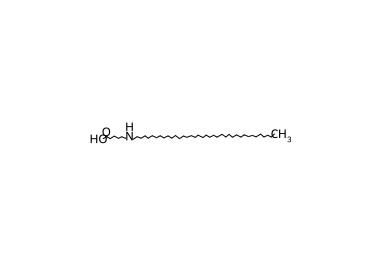 CCCCCCCCCCCCCCCCCCCCCCCCCCCCCCCCCCCCCCNCCCCCC(=O)O